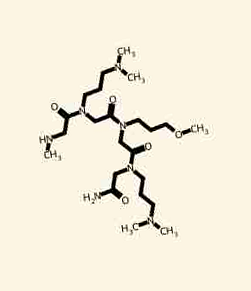 CNCC(=O)N(CCCN(C)C)CC(=O)N(CCCOC)CC(=O)N(CCCN(C)C)CC(N)=O